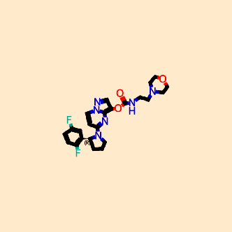 O=C(NCCN1CCOCC1)Oc1cnn2ccc(N3CCC[C@@H]3c3cc(F)ccc3F)nc12